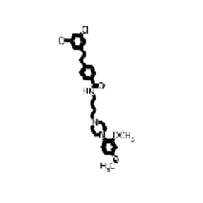 COc1ccc(N2CCN(CCCCNC(=O)c3ccc(CCc4cc(Cl)cc(Cl)c4)cc3)CC2)c(OC)c1